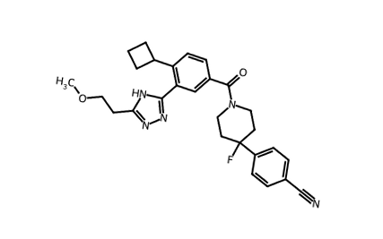 COCCc1nnc(-c2cc(C(=O)N3CCC(F)(c4ccc(C#N)cc4)CC3)ccc2C2CCC2)[nH]1